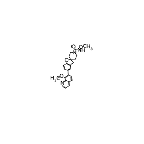 CONC(=O)N1CCC2(CC1)Cc1cc(-c3ccc4cccnc4c3OC)ccc1O2